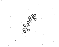 C1=CCC2C(=C1)C(N(c1ccccc1)c1cccc3ccccc13)=CC1Oc3c(ccc4c3sc3cc(N(c5ccccc5)c5cccc6ccccc56)c5ccccc5c34)C12